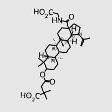 C=C(C)[C@@H]1CCC2(C(=O)NCC(=O)O)CC[C@]3(C)[C@H](CCC4[C@@]5(C)CCC(OC(=O)CC(C)(C)C(=O)O)C(C)(C)[C@@H]5CC[C@]43C)[C@@H]12